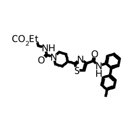 CCOC(=O)CNC(=O)N1CCC(c2nc(C(=O)Nc3ccccc3-c3ccc(C)cc3)cs2)CC1